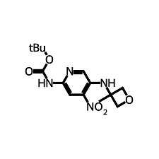 CC1(Nc2cnc(NC(=O)OC(C)(C)C)cc2[N+](=O)[O-])COC1